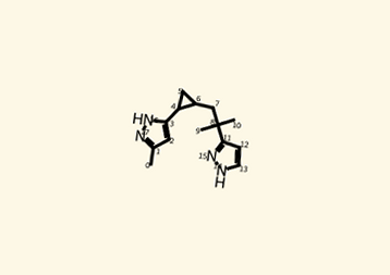 Cc1cc(C2CC2CC(C)(C)c2cc[nH]n2)[nH]n1